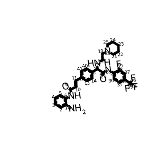 Nc1ccccc1NC(=O)/C=C/c1ccc(C(NCCN2CCCCC2)C(=O)Nc2ccc(C(F)(F)F)cc2F)cc1